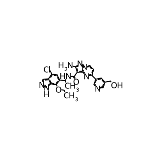 CCOc1c(C(C)NC(=O)c2c(N)nn3ccc(-c4cncc(CO)c4)nc23)cc(Cl)c2cn[nH]c12